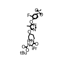 Cc1c(Oc2ccc(S(C)(=O)=O)cc2F)ncnc1OC1CCN(C(=O)C(NC(=O)OC(C)(C)C)C(C)C)CC1